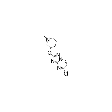 CN1CCCC(Oc2nc3nc(Cl)ccn3n2)C1